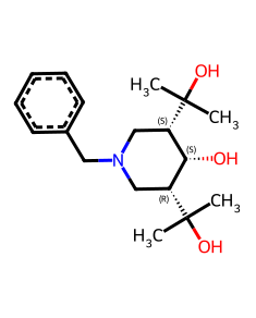 CC(C)(O)[C@@H]1CN(Cc2ccccc2)C[C@H](C(C)(C)O)[C@@H]1O